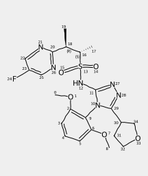 COc1cccc(OC)c1-n1c(NS(=O)(=O)[C@@H](C)[C@H](C)c2ncc(F)cn2)nnc1C1CCOC1